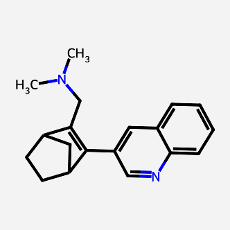 CN(C)CC1=C(c2cnc3ccccc3c2)C2CCC1C2